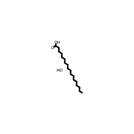 CCCCCCCCCCCCCCCCCC(=O)O.Cl